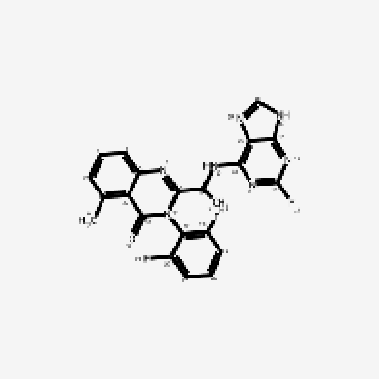 Cc1cccc2nc(C(C)Nc3nc(F)nc4[nH]cnc34)n(-c3c(F)cccc3F)c(=O)c12